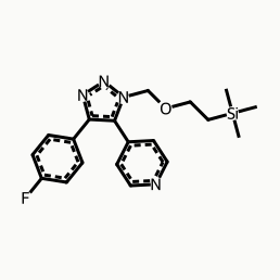 C[Si](C)(C)CCOCn1nnc(-c2ccc(F)cc2)c1-c1ccncc1